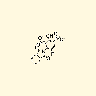 O=C1C2C=CCCC2C(=O)N1c1c(F)cc([N+](=O)[O-])c(O)c1[N+](=O)[O-]